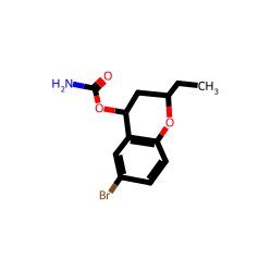 CCC1CC(OC(N)=O)c2cc(Br)ccc2O1